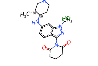 C[C@@H]1CNCC[C@H]1Nc1ccc2c(N3C(=O)CCCC3=O)nn(C)c2c1.Cl